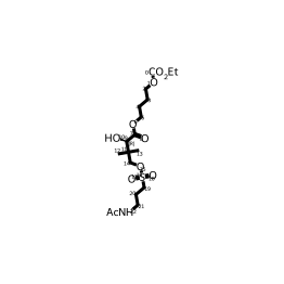 CCOC(=O)OCCCCOC(=O)[C@H](O)C(C)(C)COS(=O)(=O)CCCNC(C)=O